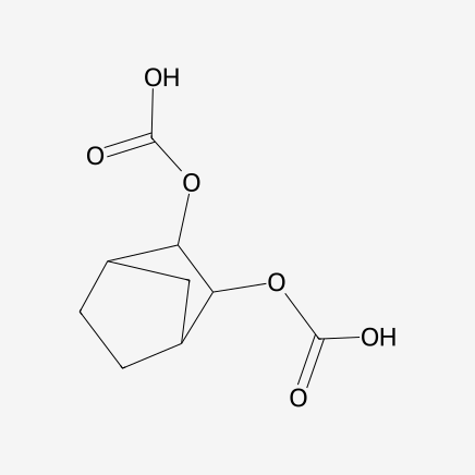 O=C(O)OC1C2CCC(C2)C1OC(=O)O